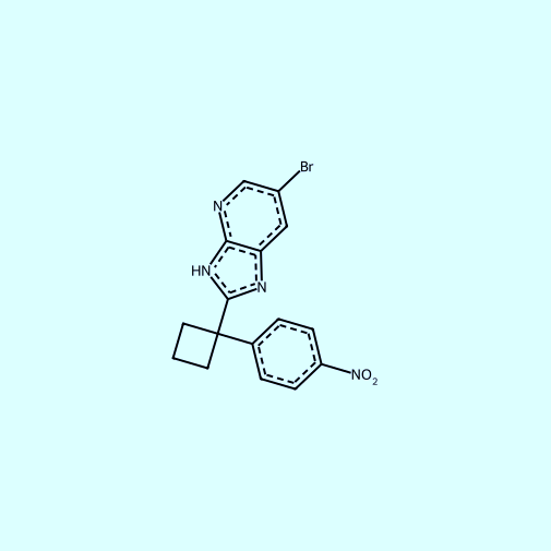 O=[N+]([O-])c1ccc(C2(c3nc4cc(Br)cnc4[nH]3)CCC2)cc1